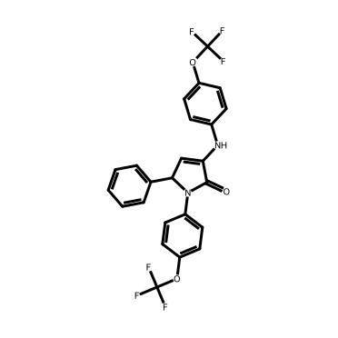 O=C1C(Nc2ccc(OC(F)(F)F)cc2)=CC(c2ccccc2)N1c1ccc(OC(F)(F)F)cc1